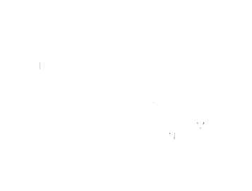 CO/N=C(\C(=O)O)c1ccccc1COc1ccccc1C